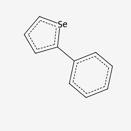 c1ccc(-c2ccc[se]2)cc1